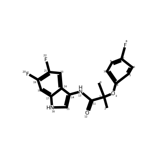 CC(C)(Oc1ccc(F)cc1)C(=O)Nc1c[nH]c2cc(F)c(F)cc12